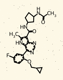 CC(=O)NC1CCC(NC(=O)c2c(C)[nH]c3c(-c4cc(F)ccc4OCC4CC4)ncnc23)C1